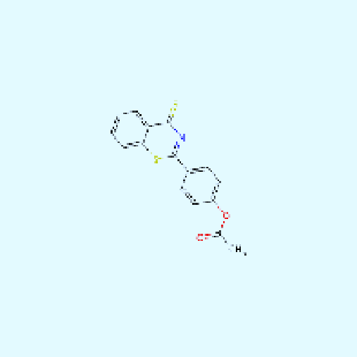 CC(=O)Oc1ccc(-c2nc(=S)c3ccccc3s2)cc1